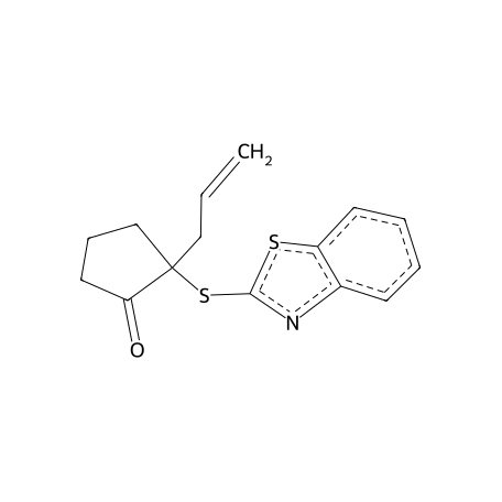 C=CCC1(Sc2nc3ccccc3s2)CCCC1=O